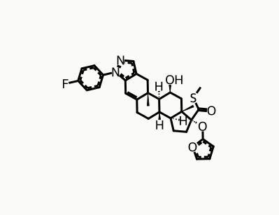 CSC(=O)[C@@]1(Oc2ccco2)CC[C@H]2[C@@H]3CCC4=Cc5c(cnn5-c5ccc(F)cc5)C[C@]4(C)[C@H]3[C@@H](O)C[C@@]21C